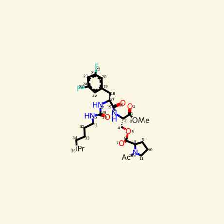 COC(=O)[C@H](COC(=O)C1CCCN1C(C)=O)NC(=O)[C@H](Cc1cc(F)cc(F)c1)NC(=O)NCCCCC(C)C